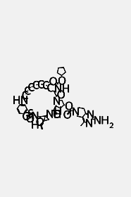 C=C[C@@H]1C[C@@]12NC(=O)[C@@H]1C[C@@H](OC(=O)N3CCc4nc(N)nc(C)c4C3)CN1C(=O)[C@@H](NC(=O)OC1CCCC1)CCCCCCCNc1ccccc1S(=O)(=O)NC2=O